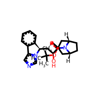 CC(C)(C)OC(=O)N1[C@@H]2CC[C@H]1CC1(C[C@@H]([C@@H]3c4ccccc4-c4cncn43)[C@@H]1O)C2